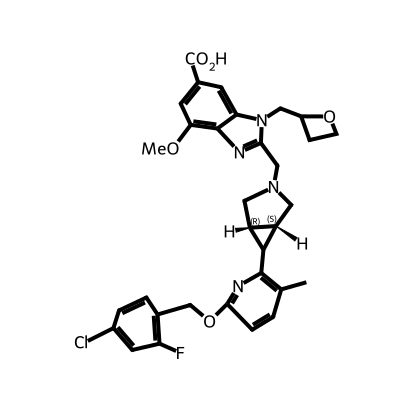 COc1cc(C(=O)O)cc2c1nc(CN1C[C@@H]3C(c4nc(OCc5ccc(Cl)cc5F)ccc4C)[C@@H]3C1)n2CC1CCO1